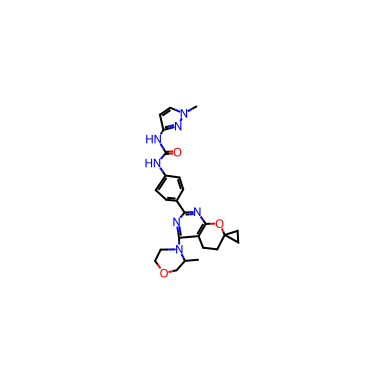 CC1COCCN1c1nc(-c2ccc(NC(=O)Nc3ccn(C)n3)cc2)nc2c1CCC1(CC1)O2